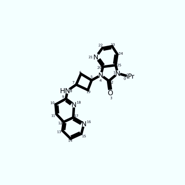 CC(C)n1c(=O)n(C2CC(Nc3ccc4cccnc4n3)C2)c2ncccc21